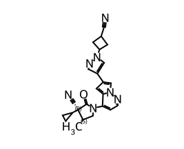 C[C@@H]1CN(c2ccnn3cc(-c4cnn(C5CC(C#N)C5)c4)cc23)C(=O)[C@]1(C#N)C1CC1